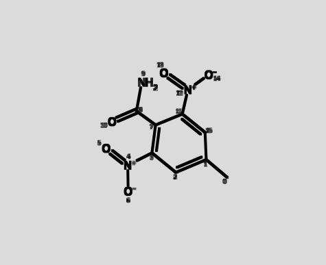 Cc1cc([N+](=O)[O-])c(C(N)=O)c([N+](=O)[O-])c1